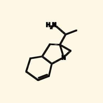 CC(N)C12CC3CCC=CC3N1C2